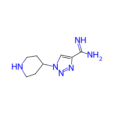 N=C(N)c1cn(C2CCNCC2)nn1